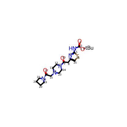 CC(C)(C)OC(=O)Nc1nc(CC(=O)N2CCN(CC(=O)N3CCCC3)CC2)cs1